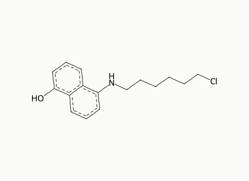 Oc1cccc2c(NCCCCCCCl)cccc12